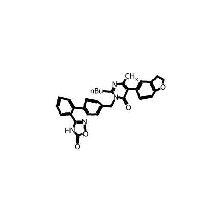 CCCCc1nc(C)c(-c2ccc3c(c2)CCO3)c(=O)n1Cc1ccc(-c2ccccc2-c2noc(=O)[nH]2)cc1